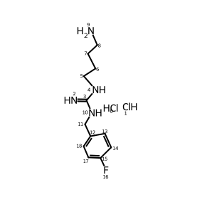 Cl.Cl.N=C(NCCCCN)NCc1ccc(F)cc1